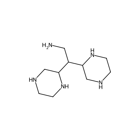 NCC(C1CNCCN1)C1CNCCN1